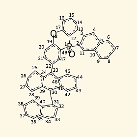 O=P1(c2ccc3ccccc3c2)c2ccccc2Oc2ccc(-c3c4ccccc4c(-c4cccc5ccccc45)c4ccccc34)cc21